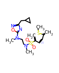 C=C(/C=C\C(=C)S(=O)(=O)N(C)CCN(C)c1nc(CC2CC2)no1)SC